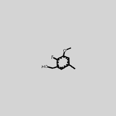 COc1cc(C)cc(CO)c1F